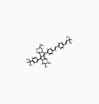 CCCCC(CC)CN1C(=O)C2=C(c3ccc(C(C)(CC)CC)cc3)N(CC(CC)CCCC)C(=O)C2=C1c1ccc(/C=C/c2ccc(/C=C/C(C)(CC)CC)cc2)cc1